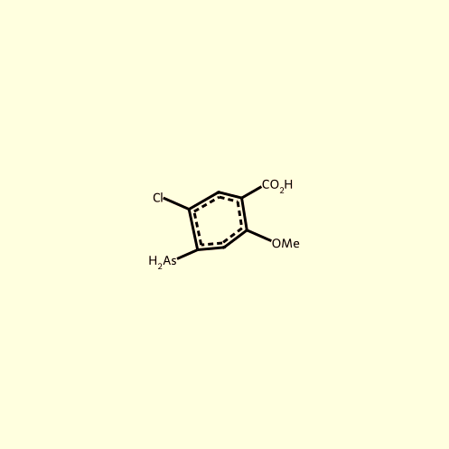 COc1cc([AsH2])c(Cl)cc1C(=O)O